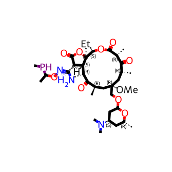 CC[C@@H]1OC(=O)[C@H](C)C(=O)[C@H](C)C[C@](COC2C[C@@H](N(C)C)C[C@@H](C)O2)(OC)C[C@@H](C)C(=O)[C@H](C)[C@H]2[C@H](/C(N)=N/OC(C)PC)C(=O)O[C@]21C